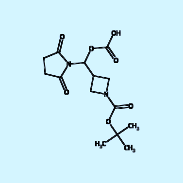 CC(C)(C)OC(=O)N1CC(C(OC(=O)O)N2C(=O)CCC2=O)C1